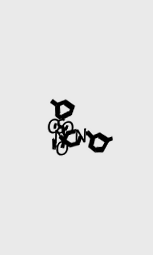 Cc1cccc(CN2CCC3(CC2)OCCN3S(=O)(=O)c2cccc(C)c2)c1